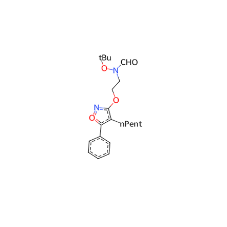 CCCCCc1c(OCCN(C=O)OC(C)(C)C)noc1-c1ccccc1